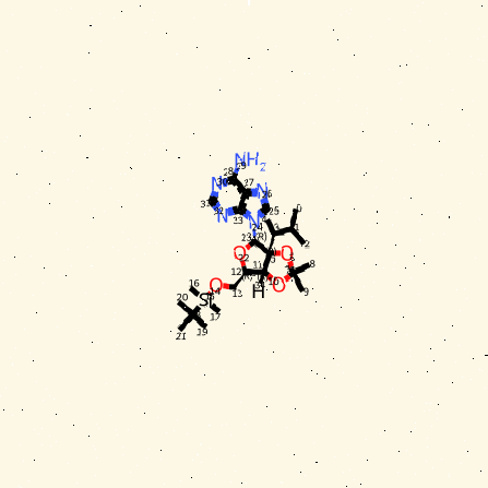 CC(C)C(C)[C@@]12OC(C)(C)O[C@@H]1[C@@H](CO[Si](C)(C)C(C)(C)C)O[C@H]2n1cnc2c(N)ncnc21